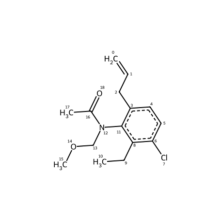 C=CCc1ccc(Cl)c(CC)c1N(COC)C(C)=O